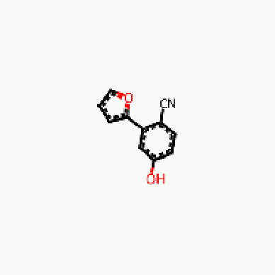 N#Cc1ccc(O)cc1-c1ccco1